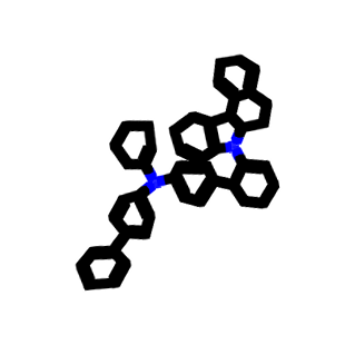 C1=CC2=C(CC1)C1C3=CCCC=C3CCC1N2C1=CCCCC1c1ccc(N(C2=CCCCC2)c2ccc(-c3ccccc3)cc2)cc1